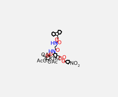 CC(=O)OC[C@H]1O[C@@H](Oc2ccc(COC(=O)Oc3ccc([N+](=O)[O-])cc3)cc2NC(=O)CCNC(=O)OCC2c3ccccc3-c3ccccc32)C(OC(C)=O)C(OC(C)=O)C1OC(C)=O